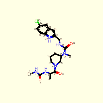 CCNC(=O)NC(C)C(=O)N1CCCC(N(C)C(=O)NCc2cc3cc(Cl)ccc3[nH]2)C1